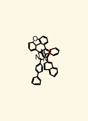 C1=CC2Oc3cccc(-c4ccc(-c5ccc6ccccc6c5)cc4)c3C2C(c2nc(-c3ccccc3)nc(-c3ccc(-c4ccccc4)cc3)n2)=C1